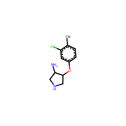 N#Cc1ccc(OC2CNCC2N)cc1Cl